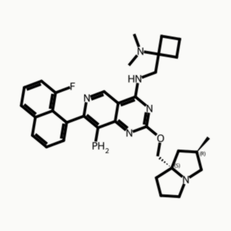 C[C@H]1CN2CCC[C@@]2(COc2nc(NCC3(N(C)C)CCC3)c3cnc(-c4cccc5cccc(F)c45)c(P)c3n2)C1